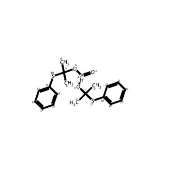 CC(C)(O[PH](=O)OC(C)(C)Sc1ccccc1)Sc1ccccc1